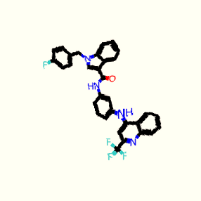 O=C(Nc1cccc(Nc2cc(C(F)(F)F)nc3ccccc23)c1)c1cn(Cc2ccc(F)cc2)c2ccccc12